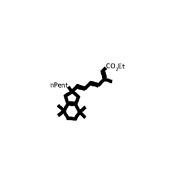 CCCCCC1(C=CC=CC(C)=CC(=O)OCC)CC2=C(C1)C(C)(C)CCC2(C)C